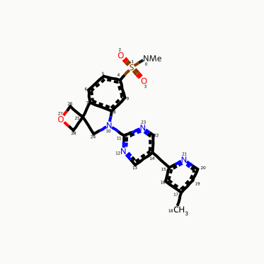 CNS(=O)(=O)c1ccc2c(c1)N(c1ncc(-c3cc(C)ccn3)cn1)CC21COC1